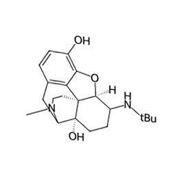 CN1CC[C@]23c4c5ccc(O)c4O[C@H]2C(NC(C)(C)C)CC[C@@]3(O)C1C5